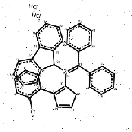 Cl.Cl.Clc1ccccc1C1=[C]([Zr](=[C](c2ccccc2)c2ccccc2)[CH]2c3ccccc3-c3ccccc32)CC=C1